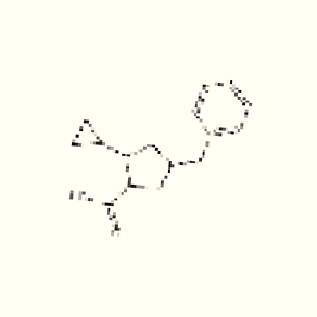 O=C(O)C1CN(Cc2ccccc2)CC1C1CC1